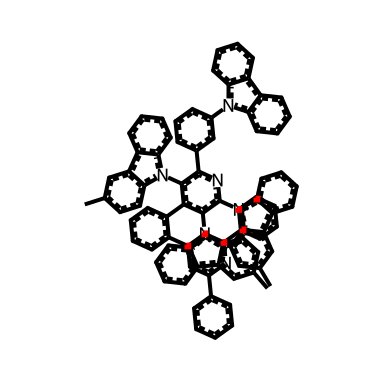 Cc1ccc2c(c1)c1ccccc1n2-c1nc(-c2cccc(-n3c4ccccc4c4ccccc43)c2)c(-n2c3ccccc3c3cc(C)ccc32)c(-c2ccccc2-c2cc(-c3ccccc3)nc(-c3ccccc3)c2)c1-n1c2ccccc2c2cc(C)ccc21